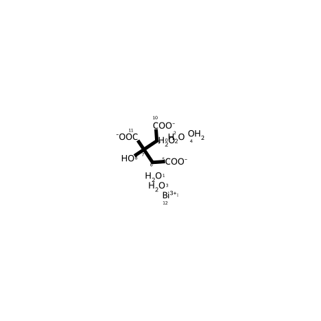 O.O.O.O.O.O=C([O-])CC(O)(CC(=O)[O-])C(=O)[O-].[Bi+3]